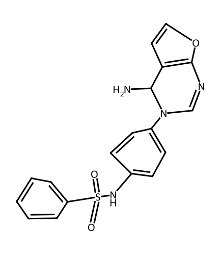 NC1c2ccoc2N=CN1c1ccc(NS(=O)(=O)c2ccccc2)cc1